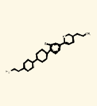 CCCC1CCC(C2CCC(c3ccc(C4=CCC(CCC)CO4)cc3F)CC2)CC1